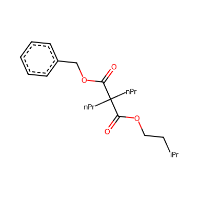 CCCC(CCC)(C(=O)OCCC(C)C)C(=O)OCc1ccccc1